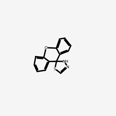 C1=NNC2(S1)c1ccccc1Oc1ccccc12